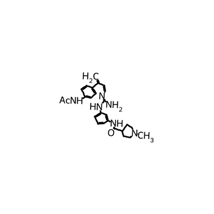 C=C(/C=C\N=C(/N)Nc1cccc(NC(=O)C2CCN(C)CC2)c1)c1ccc(NC(C)=O)cc1